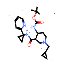 CC(C)(C)OC(=O)NC1CCN(CC2CC2)CC1C(=O)NC1(c2ccccn2)CC1